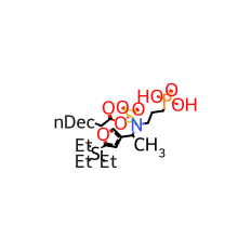 CCCCCCCCCCCC(=O)OS(=O)(=O)N(CCCP(=O)(O)O)C(C)c1coc([Si](CC)(CC)CC)c1